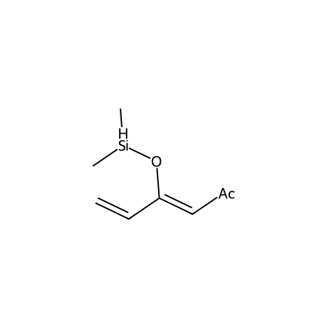 C=CC(=CC(C)=O)O[SiH](C)C